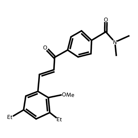 CCc1cc(C=CC(=O)c2ccc(C(=O)N(C)C)cc2)c(OC)c(CC)c1